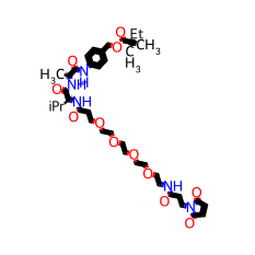 CCC(C)(C)C(=O)OCc1ccc(NC(=O)[C@H](C)NC(=O)[C@@H](NC(=O)CCOCCOCCOCCOCCNC(=O)CCN2C(=O)C=CC2=O)C(C)C)cc1